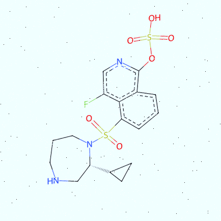 O=S(=O)(O)Oc1ncc(F)c2c(S(=O)(=O)N3CCCNC[C@H]3C3CC3)cccc12